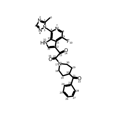 Cc1ncnn1-c1ncc(F)c2c(C(=O)C(=O)N3CCC(C(=O)c4ccccc4)CC3)c[nH]c12